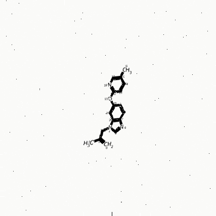 C=C(C)Cn1cnc2ccc(Oc3ccc(C)cn3)cc21